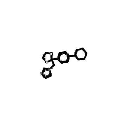 c1cn(CC2(c3ccc(C4CCCCC4)cc3)OCCO2)cn1